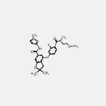 COCCN(C)C(=O)c1ccc(Oc2cc(C(=O)Nc3ccn(C)n3)cc3c2CC(C)(C)O3)cc1F